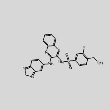 O=S(=O)(Nc1nc2ccccc2nc1Nc1ccc2nsnc2c1)c1ccc(CO)c(F)c1